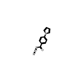 [N-]=[N+]=NC(=O)c1ccc(-n2cccc2)cc1